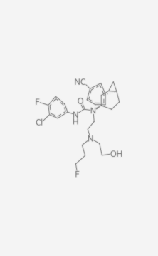 N#Cc1cccc([C@]23CC[C@@H](N(CCN(CCO)CCCF)C(=O)Nc4ccc(F)c(Cl)c4)CC2C3)c1